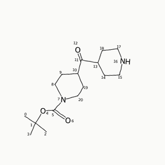 CC(C)(C)OC(=O)N1CCC(C(=O)C2CCNCC2)CC1